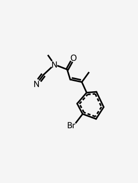 CC(=CC(=O)N(C)C#N)c1cccc(Br)c1